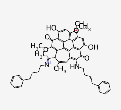 COc1c2c3c4c(c(NCCCCc5ccccc5)c(=O)c5c(O)cc(OC)c(c6c(OC)cc(O)c(c1=O)c63)c54)C=C(C)C2/C(C)=N/CCCCc1ccccc1